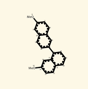 COc1ccc2cc(-c3[c]ccc4ccc(OC)cc34)ccc2c1